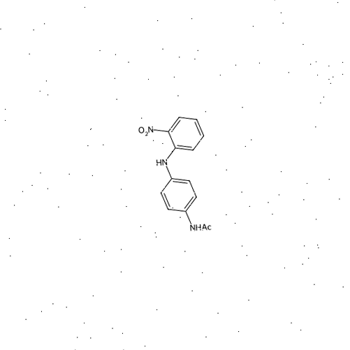 CC(=O)Nc1ccc(Nc2ccccc2[N+](=O)[O-])cc1